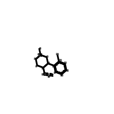 CCOC(=O)C1CCN(C)CC1c1ccccc1C